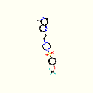 Cc1nccc2nc([CH]CN3CCN(S(=O)(=O)c4ccc(OC(F)(F)F)cc4)CC3)ccc12